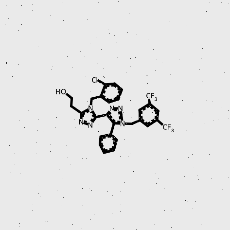 OCCc1nnc(-c2nnn(Cc3cc(C(F)(F)F)cc(C(F)(F)F)c3)c2-c2ccccc2)n1Cc1ccccc1Cl